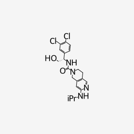 CC(C)Nc1cc2c(cn1)CCN(C(=O)N[C@H](CO)c1ccc(Cl)c(Cl)c1)C2